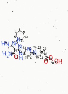 N=Cc1nc(N2CCCCCC2)nc(Nc2ccc(N3CCC4(CC3)CC4C(=O)OCO)nc2)c1C(N)=O